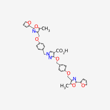 Cc1oc(-c2ccco2)nc1COc1ccc(COc2nn(Cc3ccc(OCc4nc(-c5ccco5)oc4C)cc3)cc2C(=O)O)cc1